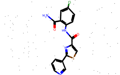 NC(=O)c1cc(Cl)ccc1NC(=O)c1csc(-c2cccnc2)n1